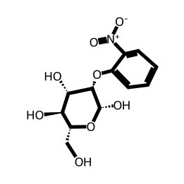 O=[N+]([O-])c1ccccc1O[C@H]1[C@@H](O)[C@H](O)[C@@H](CO)O[C@H]1O